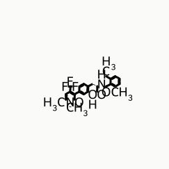 CCc1cccc(C)c1C(=O)N[C@@H](Cc1ccc(-c2c(C(F)(F)F)cc(C)n(C)c2=O)cc1)C(=O)O